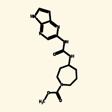 COC(=O)N1CCCC(NC(=O)Nc2cnc3[nH]ccc3n2)CC1